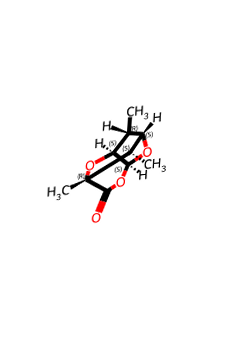 C[C@H]1[C@@H]2O[C@@]3(C)C(=O)O[C@@H]2O[C@@H]1[C@@H]3C